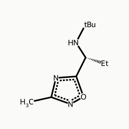 CC[C@@H](NC(C)(C)C)c1nc(C)no1